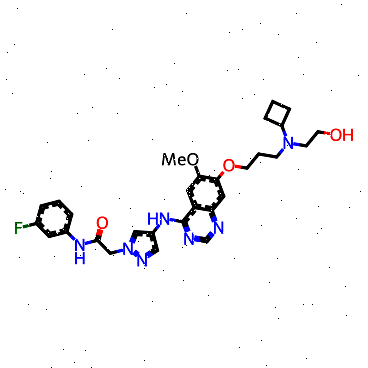 COc1cc2c(Nc3cnn(CC(=O)Nc4cccc(F)c4)c3)ncnc2cc1OCCCN(CCO)C1CCC1